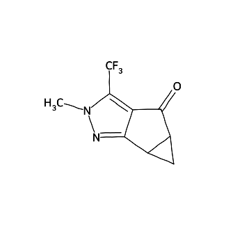 Cn1nc2c(c1C(F)(F)F)C(=O)C1CC21